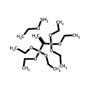 C=C([Si](OCC)(OCC)OCC)[Si](OCC)(OCC)OCC.CCO[SiH3]